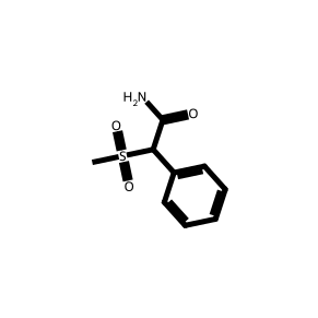 CS(=O)(=O)[C](C(N)=O)c1ccccc1